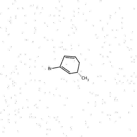 C[C@@H]1C=C(Br)C=CC1